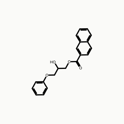 O=C(OCC(O)COc1ccccc1)c1ccc2ccccc2c1